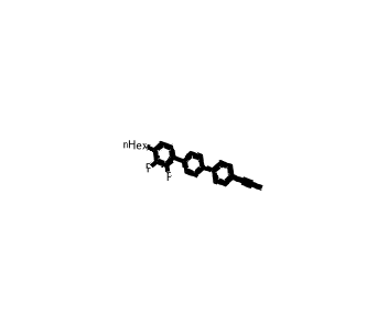 CC#Cc1ccc(-c2ccc(-c3ccc(CCCCCC)c(F)c3F)cc2)cc1